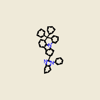 c1ccc(-n2c(-c3ccc4c(c3)c3cccc5c3n4-c3ccccc3C5(c3ccccc3)c3ccccc3)nc3ccccc32)cc1